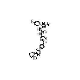 CC(C)(C)c1cc(NC(=O)Nc2cnc(Oc3ccc(-c4cnc(N5CCCCC5=O)s4)cc3)nc2)n(-c2ccc(F)cc2)n1